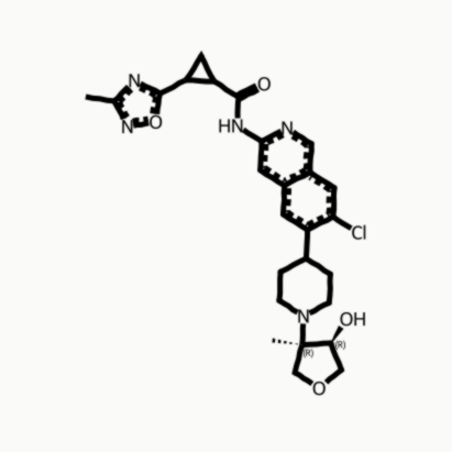 Cc1noc(C2CC2C(=O)Nc2cc3cc(C4CCN([C@]5(C)COC[C@@H]5O)CC4)c(Cl)cc3cn2)n1